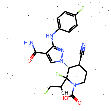 CC(CF)C1(F)[C@H](n2cc(C(N)=O)c(Nc3ccc(F)cc3)n2)[C@@H](C#N)CCN1C(=O)O